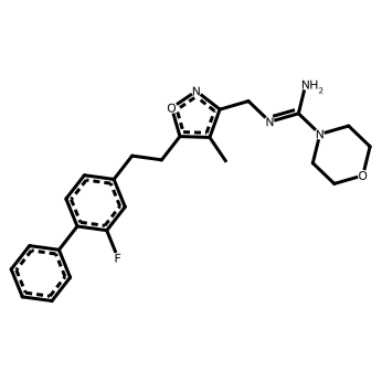 Cc1c(CN=C(N)N2CCOCC2)noc1CCc1ccc(-c2ccccc2)c(F)c1